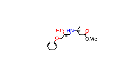 COC(=O)C[C@H](C)NC[C@H](O)COc1ccccc1